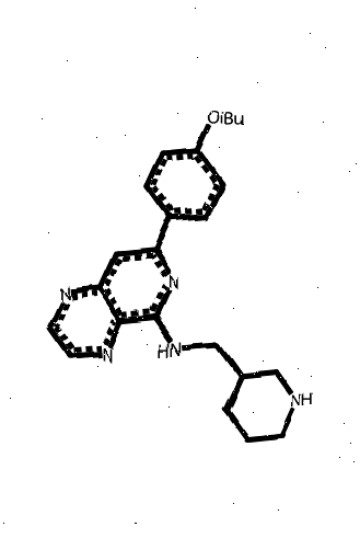 CC(C)COc1ccc(-c2cc3nccnc3c(NCC3CCCNC3)n2)cc1